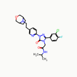 CC(C)NC(=O)Cn1c(-c2ccc(F)c(Cl)c2)nn(-c2ccc(CCN3C4CCC3COC4)cn2)c1=O